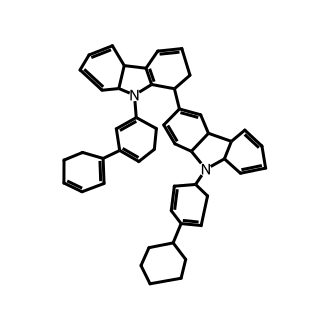 C1=CCCC(C2=CCCC(N3C4=C(C=CCC4C4=CC5C6C=CC=CC6N(C6C=CC(C7CCCCC7)=CC6)C5C=C4)C4C=CC=CC43)=C2)=C1